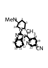 CN[C@H]1CCCN(c2nc3ccccc3n2[C@H](C)c2ccc(C#N)cn2)C1